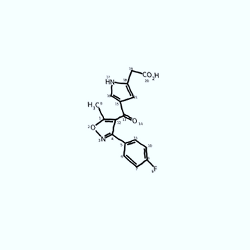 Cc1onc(-c2ccc(F)cc2)c1C(=O)c1c[nH]c(CC(=O)O)c1